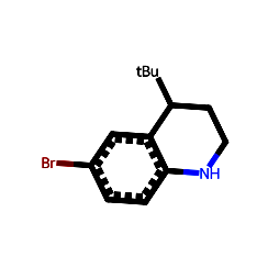 CC(C)(C)C1CCNc2ccc(Br)cc21